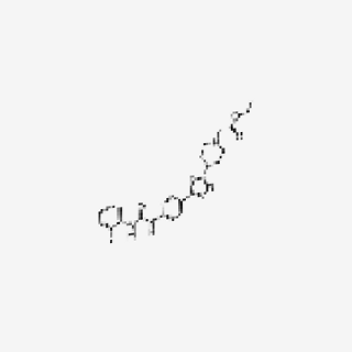 CCOC(=O)CN1CCC(c2ncc(-c3ccc(NC(=O)Nc4ccccc4F)cc3)s2)CC1